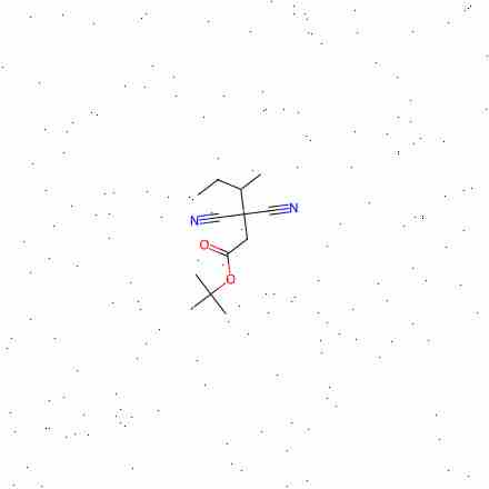 CCC(C)C(C#N)(C#N)CC(=O)OC(C)(C)C